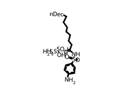 CCCCCCCCCCCCCCCCCC(=O)NS(=O)(=O)c1ccc(N)cc1.O=S(=O)(O)O.S.S